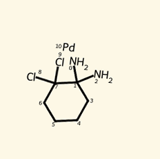 NC1(N)CCCCC1(Cl)Cl.[Pd]